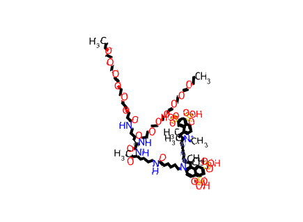 CCCOCCOCCOCCOCCOCCOCCC(=O)NCCCC[C@@H](NC(=O)CCOCCOCCOCCOCCOCCOCCC)C(=O)NC(CCCCNC(=O)CCCCCN1/C(=C/C=C/C=C/C2=[N+](CC)c3ccc4c(S(=O)(=O)O)cc(S(=O)(=O)O)cc4c3C2(C)C)C(C)(C)c2c1ccc1c(S(=O)(=O)O)cc(S(=O)(=O)O)cc21)C(C)=O